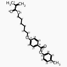 C=C(C)C(=O)OCCCCCCOc1ccc(C(=O)Oc2ccc(C)cc2)cc1